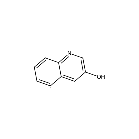 Oc1cnc2ccc[c]c2c1